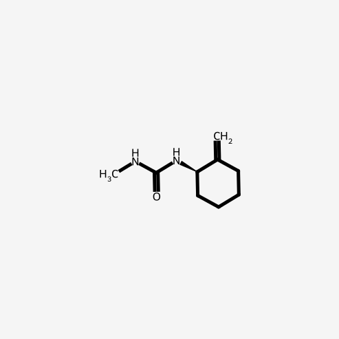 C=C1CCCC[C@H]1NC(=O)NC